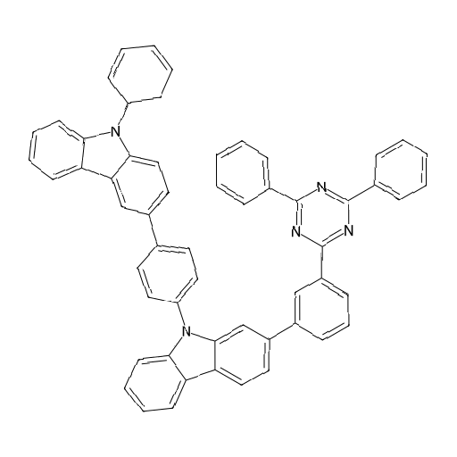 C1=CCC(n2c3ccccc3c3cc(-c4ccc(-n5c6ccccc6c6ccc(-c7cccc(-c8nc(-c9ccccc9)nc(-c9ccccc9)n8)c7)cc65)cc4)ccc32)C=C1